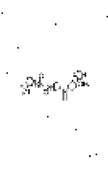 O=C(NCC(=O)N1CCC(NC2CCC(O)(c3cnccn3)CC2)C1)c1cccc(C(F)(F)F)c1